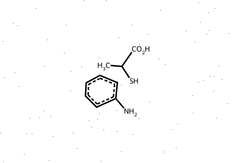 CC(S)C(=O)O.Nc1ccccc1